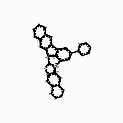 c1ccc(-c2cc3c4cc5ccccc5cc4n4c3c(c2)n2c3cc5ccccc5cc3nc24)cc1